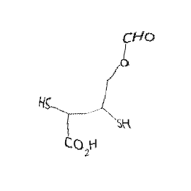 O=COCC(S)C(S)C(=O)O